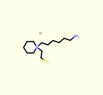 NCCCCCC[N+]1(CCS)CCCCC1.[Br-]